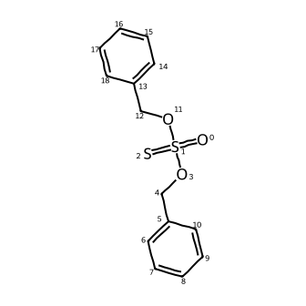 O=S(=S)(OCc1ccccc1)OCc1ccccc1